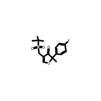 CC1(c2ccc(F)cc2)OC=C(CS(=O)(=O)C(C)(C)C)C1=O